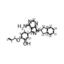 C=CCOc1ccc(-c2nn(C3Cc4ccccc4C3)c3ncnc(N)c23)cc1O